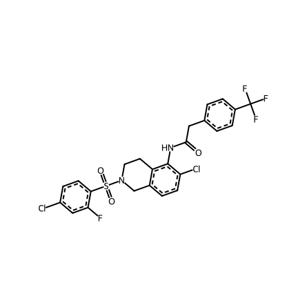 O=C(Cc1ccc(C(F)(F)F)cc1)Nc1c(Cl)ccc2c1CCN(S(=O)(=O)c1ccc(Cl)cc1F)C2